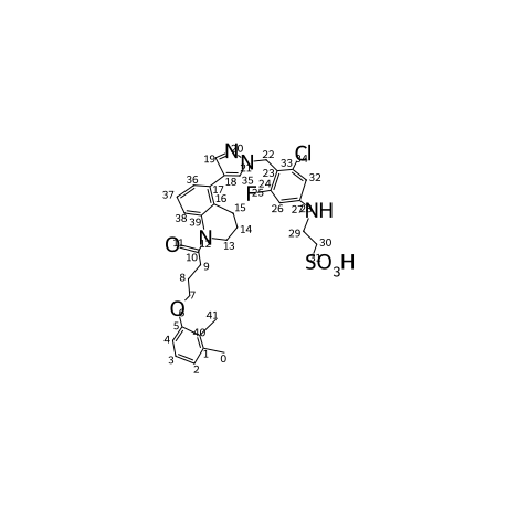 Cc1cccc(OCCCC(=O)N2CCCc3c(-c4cnn(Cc5c(F)cc(NCCS(=O)(=O)O)cc5Cl)c4)cccc32)c1C